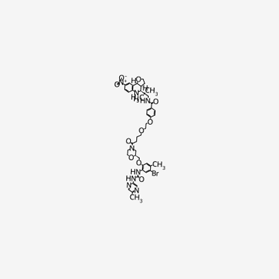 Cc1cnc(NC(=O)Nc2cc(Br)c(C)cc2OC[C@@H]2CN(C(=O)CCCOCCOc3ccc(C(=O)NCC(C)(C)[C@H]4Nc5ccc([N+](=O)[O-])cc5[C@H]5OCC[C@H]54)cc3)CCO2)cn1